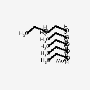 CCCCCCCC/C=C\CCCCCCCC[PH](=O)[O-].CCCCCCCC/C=C\CCCCCCCC[PH](=O)[O-].CCCCCCCC/C=C\CCCCCCCC[PH](=O)[O-].CCCCCCCC/C=C\CCCCCCCC[PH](=O)[O-].CCCCCCCC/C=C\CCCCCCCC[PH](=O)[O-].CCCCCCCC/C=C\CCCCCCCC[PH](=O)[O-].[Mo+6]